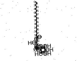 CCCCCCCCCCCCCCCCCCCC(=O)OC[C@@H](O)COP(=O)(O)OC1C(O)C(O)C(O)[C@@H](O)C1O